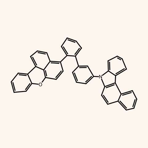 c1cc(-c2ccccc2-c2ccc3c4c(cccc24)-c2ccccc2O3)cc(-n2c3ccccc3c3c4ccccc4ccc32)c1